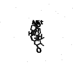 CCO[C@]1(C(C)=O)CC[C@H]2[C@@H]3C=CC4=CC(=O)C(C)C(C)[C@@]4(C)[C@@H]3CC[C@@]21C